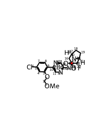 COCOc1cc(Cl)ccc1-c1cnc(N[C@@H]2C[C@H]3CC[C@@H]([C@@H]2F)N3C(=O)OC(C)(C)C)cn1